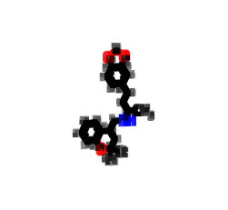 CCC1(CC)CC(CNC(C)CCc2ccc3c(c2)OCO3)c2ccccc2O1